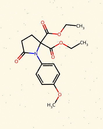 CCOC(=O)C1(C(=O)OCC)CCC(=O)N1c1ccc(OC)cc1